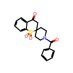 O=C1CC2(CCN(C(=O)c3ccccc3)CC2)S(=O)(=O)c2ccccc21